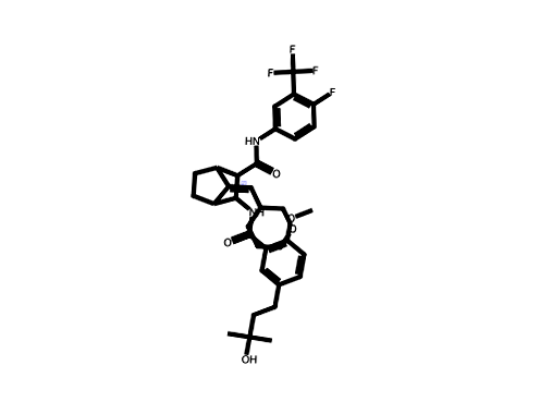 COc1ccc(CCC(C)(C)O)cc1C(=O)NC1C2CCC(/C2=C/C2CCCOC2)C1C(=O)Nc1ccc(F)c(C(F)(F)F)c1